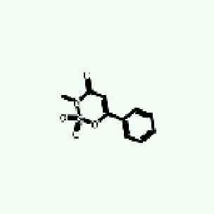 CN1C(=O)C=C(c2ccccc2)OS1(=O)=O